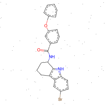 O=C(NC1CCCc2c1[nH]c1ccc(Br)cc21)c1cccc(Oc2ccccc2)c1